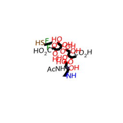 CC(=O)N/C(=C(/O)C1CN1)C(O)OC(CC(=O)O)C(O)C(O)C(O)OC(C(O)CC(=O)O)C(O)C(O)OCC(F)(F)CS